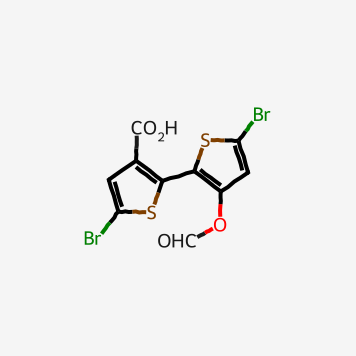 O=COc1cc(Br)sc1-c1sc(Br)cc1C(=O)O